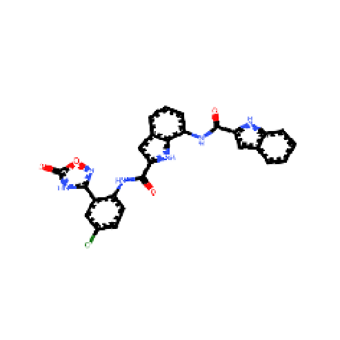 O=C(Nc1cccc2cc(C(=O)Nc3ccc(Cl)cc3-c3noc(=O)[nH]3)[nH]c12)c1cc2ccccc2[nH]1